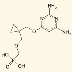 Nc1cc(OCC2(COCP(=O)(O)O)CC2)nc(N)n1